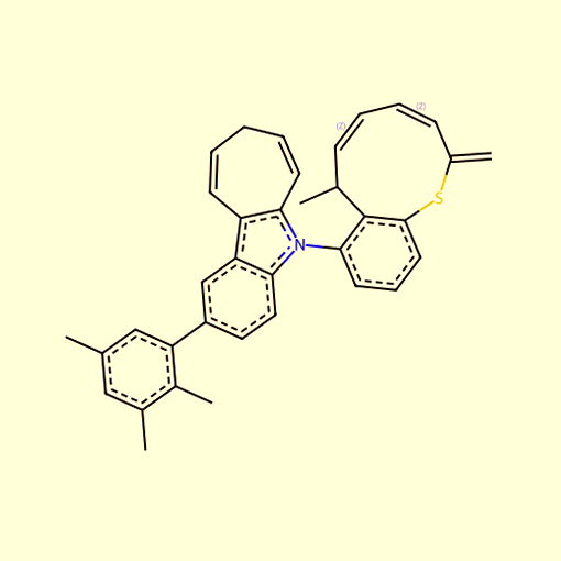 C=C1/C=C\C=C/C(C)c2c(cccc2-n2c3c(c4cc(-c5cc(C)cc(C)c5C)ccc42)C=CCC=C3)S1